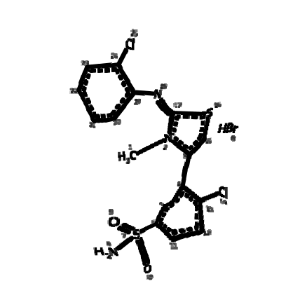 Br.Cn1c(-c2cc(S(N)(=O)=O)ccc2Cl)cs/c1=N/c1ccccc1Cl